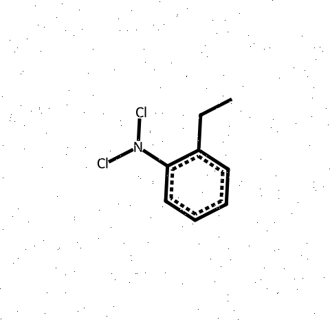 CCc1ccccc1N(Cl)Cl